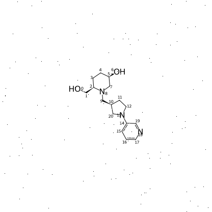 OC[C@H]1CC[C@@H](O)CN1C[C@H]1CCN(c2cccnc2)C1